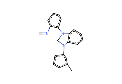 C=Nc1ccccc1N1CN(c2cccc(C)c2)c2ccccc21